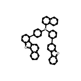 c1cc(-c2ccc3c(c2)oc2ccccc23)cc(N(c2ccc(-c3cccc4oc5c6ccccc6ccc5c34)cc2)c2cccc3ccccc23)c1